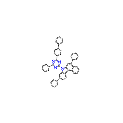 c1ccc(-c2ccc(-c3nc(-c4ccccc4)nc(-n4c5cc(-c6ccccc6)ccc5c5c6ccccc6c(-c6ccccc6)cc54)n3)cc2)cc1